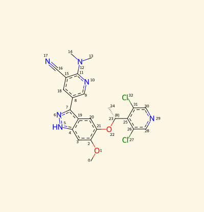 COc1cc2[nH]nc(-c3cnc(N(C)C)c(C#N)c3)c2cc1O[C@H](C)c1c(Cl)cncc1Cl